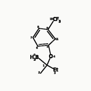 BC(C)(CC)Oc1cccc(C(F)(F)F)c1